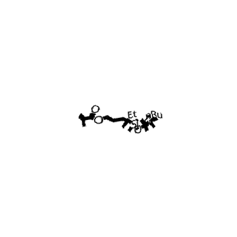 C=C(C)C(=O)OCCCC(C)(CC)[Si](C)(C)OC(C)(C)[Si](C)(C)CCCC